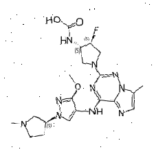 COc1nn([C@H]2CCN(C)C2)cc1Nc1nc(N2C[C@H](NC(=O)O)[C@@H](F)C2)nn2c(C)cnc12